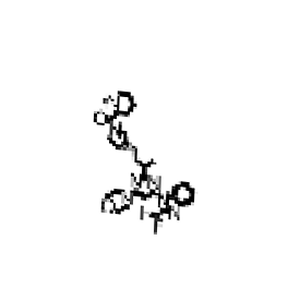 CC(CC[C@H]1CCN(C(=O)C2CCCCN2C)C1)c1nc(N2CCOCC2)cc(-n2c(C(F)F)nc3ccccc32)n1